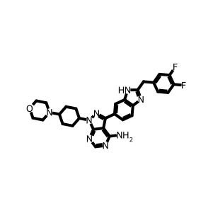 Nc1ncnc2c1c(-c1ccc3nc(Cc4ccc(F)c(F)c4)[nH]c3c1)nn2C1CCC(N2CCOCC2)CC1